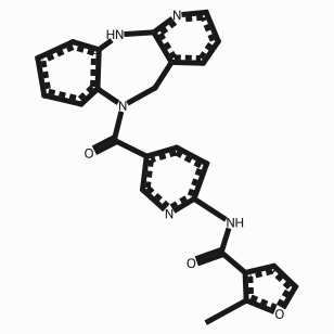 Cc1occc1C(=O)Nc1ccc(C(=O)N2Cc3cccnc3Nc3ccccc32)cn1